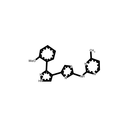 COc1ccccc1-c1n[nH]cc1-c1csc(Nc2nccc(C)n2)n1